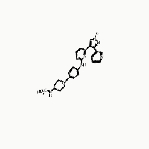 CCn1cc(-c2ccnc(Nc3ccc(N4CCC(NC(=O)O)CC4)cc3)n2)c(-c2cccnc2)n1